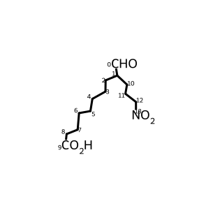 O=CC(CCCCCCCC(=O)O)CCC[N+](=O)[O-]